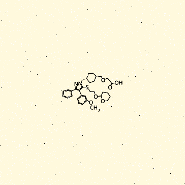 COc1cccc(-c2c(-c3ccccc3)nn(C[C@H]3CC[C@H](COCC(=O)O)CC3)c2SCCOC2CCCCO2)c1